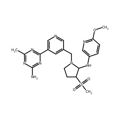 COc1ccc(NC2C(S(C)(=O)=O)CCN2Cc2cncc(-c3nc(C)nc(N)n3)c2)cn1